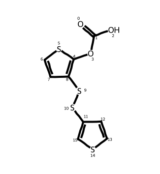 O=C(O)Oc1sccc1SSc1ccsc1